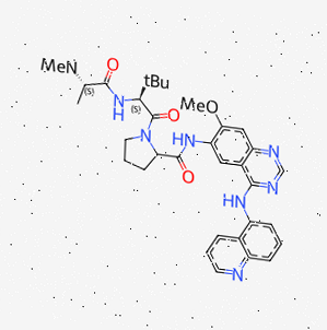 CN[C@@H](C)C(=O)N[C@H](C(=O)N1CCCC1C(=O)Nc1cc2c(Nc3cccc4ncccc34)ncnc2cc1OC)C(C)(C)C